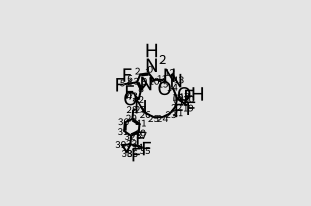 Nc1cc(C(F)(F)F)c2nc1-c1nnc(o1)[C@@](O)(C(F)(F)F)CCCCCN(Cc1ccc(C3(C(F)(F)F)CC3)cc1)C2=O